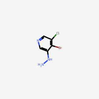 NNc1cncc(Cl)c1Br